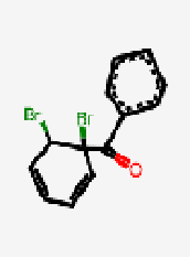 O=C(c1ccccc1)C1(Br)C=CC=CC1Br